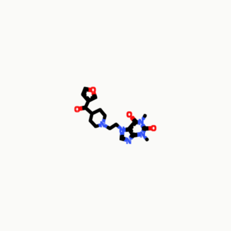 Cn1c(=O)c2c(ncn2CCN2CCC(C(=O)c3ccoc3)CC2)n(C)c1=O